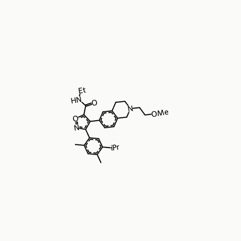 CCNC(=O)c1onc(-c2cc(C(C)C)c(C)cc2C)c1-c1ccc2c(c1)CCN(CCOC)C2